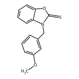 COc1cccc(Cn2c(=S)oc3ccccc32)c1